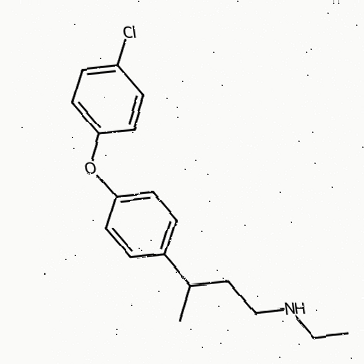 CCNCCC(C)c1ccc(Oc2ccc(Cl)cc2)cc1